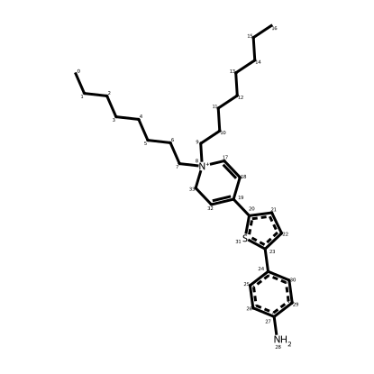 CCCCCCCC[N+]1(CCCCCCCC)C=CC(c2ccc(-c3ccc(N)cc3)s2)=CC1